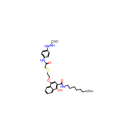 CCCCCCCCCCCCCCCCNC(=O)c1cc(OCCSCC(=O)Nc2ccc(NNC=O)cc2)c2ccccc2c1O